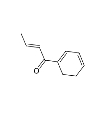 C/C=C/C(=O)C1=CC=CCC1